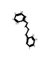 [c]1ccc(CCCCc2ccccc2)cc1